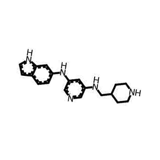 c1cc2ccc(Nc3cncc(NCC4CCNCC4)c3)cc2[nH]1